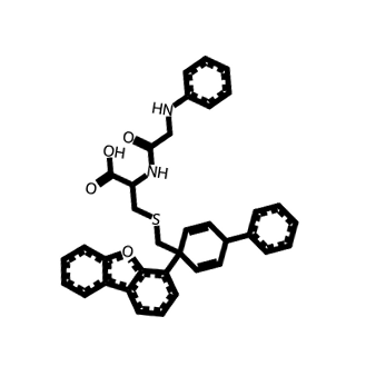 O=C(CNc1ccccc1)NC(CSCC1(c2cccc3c2oc2ccccc23)C=CC(c2ccccc2)C=C1)C(=O)O